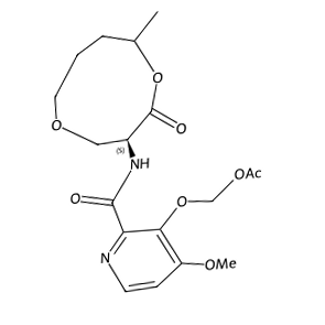 COc1ccnc(C(=O)N[C@H]2COCCCC(C)OC2=O)c1OCOC(C)=O